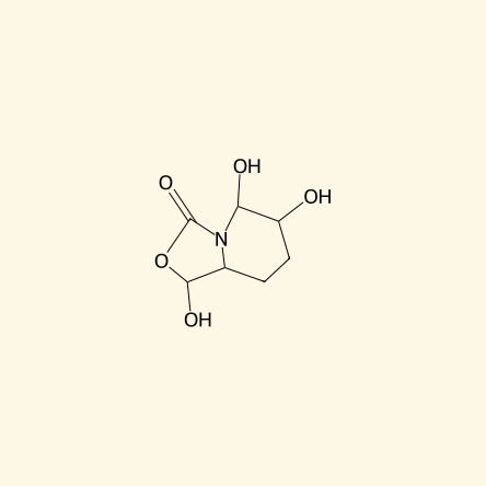 O=C1OC(O)C2CCC(O)C(O)N12